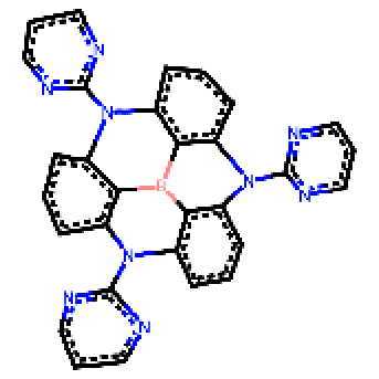 c1cnc(N2c3cccc4c3B3c5c2cccc5N(c2ncccn2)c2cccc(c23)N4c2ncccn2)nc1